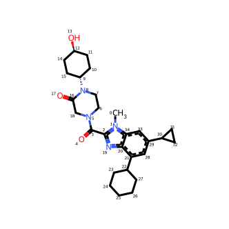 Cn1c(C(=O)N2CCN([C@H]3CC[C@H](O)CC3)C(=O)C2)nc2c(C3CCCCC3)cc(C3CC3)cc21